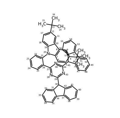 CC(C)(C)c1ccc2c(c1)c1cc(C(C)(C)C)ccc1n2-c1ccccc1-c1nc(C2c3ccccc3-c3ccccc32)nc(C2c3ccccc3-c3ccccc32)n1